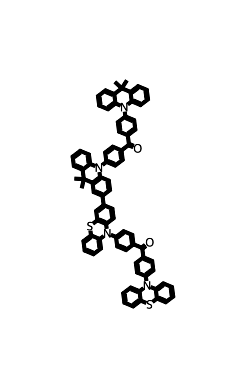 CC1(C)c2ccccc2N(c2ccc(C(=O)c3ccc(N4c5ccccc5C(C)(C)c5cc(-c6ccc7c(c6)Sc6ccccc6N7c6ccc(C(=O)c7ccc(N8c9ccccc9Sc9ccccc98)cc7)cc6)ccc54)cc3)cc2)c2ccccc21